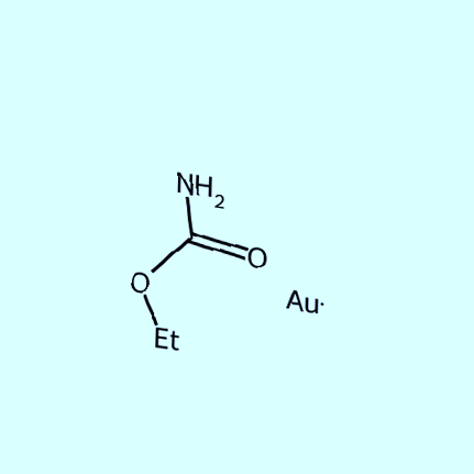 CCOC(N)=O.[Au]